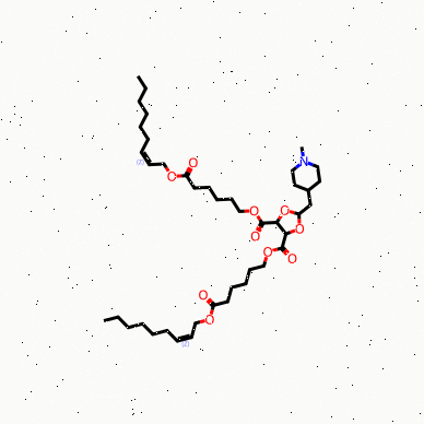 CCCCCC/C=C\COC(=O)CCCCCOC(=O)C1OC(CC2CCN(C)CC2)OC1C(=O)OCCCCCC(=O)OC/C=C\CCCCCC